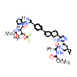 C=C(COC(F)F)[C@H](NC(=O)OC)C(=O)N1C(c2ncc(-c3ccc(-c4ccc5cc(-c6cnc([C@@H]7CC8(CC8)CN7C(=O)[C@@H](NC(=O)OC)C(C)C)[nH]6)ccc5c4)cc3)[nH]2)[C@H]2CC[C@@H]1C2